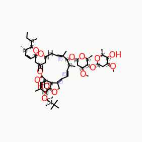 CC[C@@H](C)[C@H]1O[C@]2(C=C[C@@H]1C)C[C@@H]1C[C@@H](C/C=C(\C)[C@@H](O[C@H]3C[C@H](OC)[C@@H](O[C@H]4C[C@H](OC)[C@H](O)[C@H](C)O4)[C@H](C)O3)[C@@H](C)/C=C/C=C3\CO[C@@H]4[C@H](O[Si](C)(C)C(C)(C)C)C(C)=C[C@@H](C(=O)O1)[C@]34O)O2